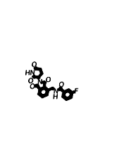 O=C1CCC(N2C(=O)c3cccc(CNC(=O)c4cccc(F)c4)c3C2=O)C(=O)N1